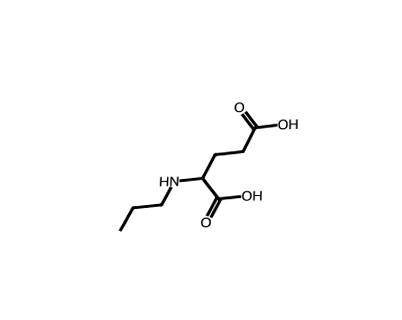 CCCNC(CCC(=O)O)C(=O)O